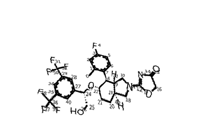 Cc1cc(F)ccc1[C@H]1[C@@H]2CN(C3=NC(=O)CO3)C[C@H]2CC[C@@H]1O[C@H](CO)c1cc(C(F)(F)F)cc(C(F)(F)F)c1